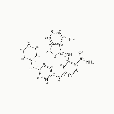 NC(=O)c1cnc(Nc2ccc(CN3CCOCC3)cn2)cc1NC1CCc2cccc(F)c21